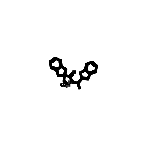 CC(NC(=O)C1(CC(=O)O)Cc2ccccc2C1)c1cc2ccccc2o1